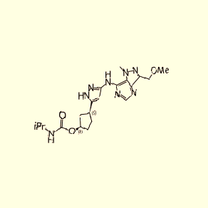 COCc1nn(C)c2c(Nc3cc([C@H]4CC[C@@H](OC(=O)NC(C)C)C4)[nH]n3)ncnc12